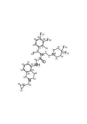 Cc1c(C(F)N(CCN2CCC(F)(F)CC2)C(=O)CNc2cccc3c2CCN(CC2CC2)C3)ccc(F)c1F